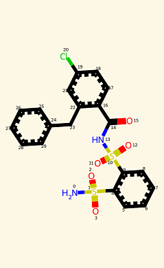 NS(=O)(=O)c1ccccc1S(=O)(=O)NC(=O)c1ccc(Cl)cc1Cc1ccccc1